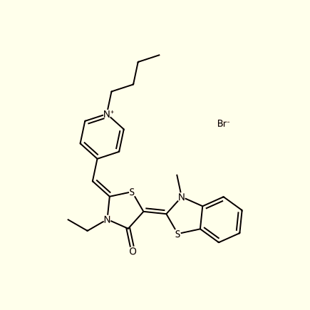 CCCC[n+]1ccc(C=c2sc(=C3Sc4ccccc4N3C)c(=O)n2CC)cc1.[Br-]